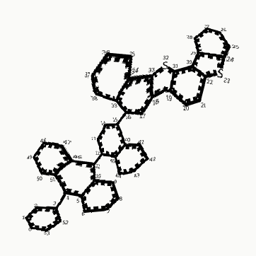 c1ccc(-c2c3ccccc3c(-c3ccc(-c4cc5c6ccc7sc8ccccc8c7c6sc5c5ccccc45)c4ccccc34)c3ccccc23)cc1